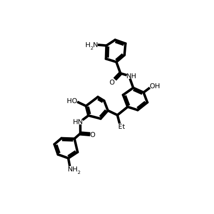 CCC(c1ccc(O)c(NC(=O)c2cccc(N)c2)c1)c1ccc(O)c(NC(=O)c2cccc(N)c2)c1